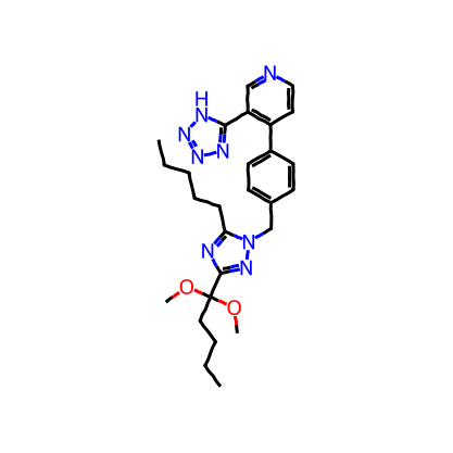 CCCCCc1nc(C(CCCC)(OC)OC)nn1Cc1ccc(-c2ccncc2-c2nnn[nH]2)cc1